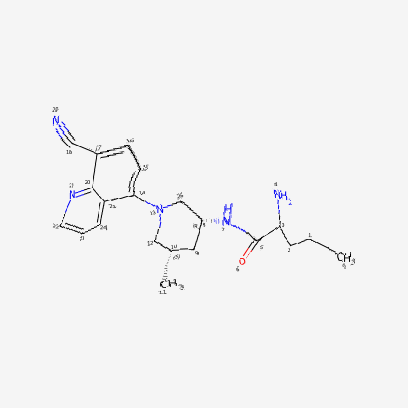 CCCC(N)C(=O)N[C@@H]1C[C@H](C)CN(c2ccc(C#N)c3ncccc23)C1